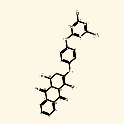 NC1=C(Oc2ccc(Oc3nc(N)nc(Cl)n3)cc2)CC(O)C2C(=O)c3ccccc3C(=O)C12